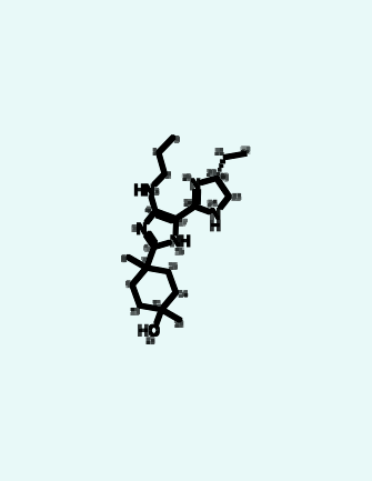 CCCNc1nc(C2(C)CCC(C)(O)CC2)[nH]c1C1=N[C@H](CC)CN1